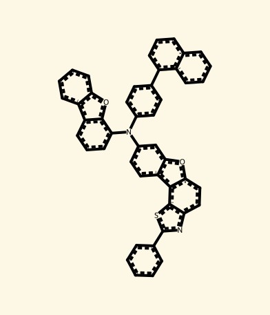 c1ccc(-c2nc3ccc4oc5cc(N(c6ccc(-c7cccc8ccccc78)cc6)c6cccc7c6oc6ccccc67)ccc5c4c3s2)cc1